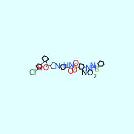 CC(C[C@@H](Sc1ccccc1)N(C)C)Nc1ccc(S(=O)(=O)NC(=O)c2ccc(N3CCC(C(O)c4ccccc4-c4ccc(Cl)cc4)CC3)cc2)cc1[N+](=O)[O-]